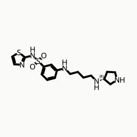 O=S(=O)(Nc1nccs1)c1cccc(NCCCCN[C@@H]2CCNC2)c1